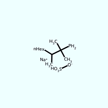 CCCCCCC(C)C(C)(C)P.O=S(=O)([O-])O.[Na+]